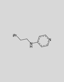 CC(C)CCNc1ccncc1